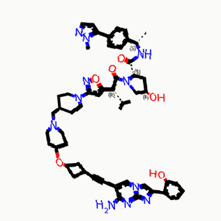 CC(C)[C@@H](C(=O)N1C[C@H](O)C[C@H]1C(=O)N[C@@H](C)c1ccc(-c2ccnn2C)cc1)c1cc(N2CCC(CN3CCC(OC4CC(C#Cc5cn6cc(-c7ccccc7O)nc6nc5N)C4)CC3)CC2)no1